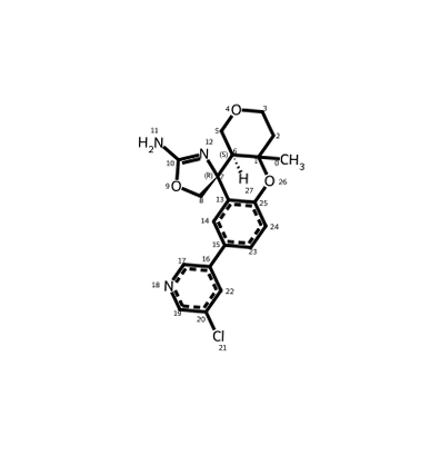 CC12CCOC[C@@H]1[C@]1(COC(N)=N1)c1cc(-c3cncc(Cl)c3)ccc1O2